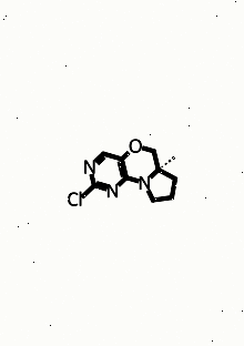 C[C@]12CCCN1c1nc(Cl)ncc1OC2